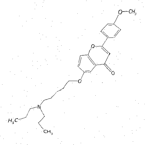 CCCN(CCC)CCCCCOc1ccc2oc(-c3ccc(OC)cc3)cc(=O)c2c1